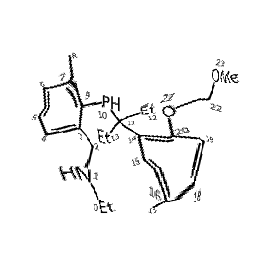 CCNCc1cccc(C)c1PC(CC)(CC)c1cc(C)ccc1OCOC